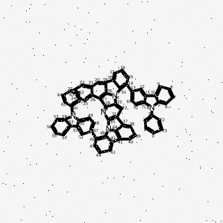 c1ccc(-n2c3ccccc3c3cc(-c4cccc5c6cc7ccccc7c7c8nc9c(cc8n(c45)c67)c4cccc5c6cccc(-c7ccc8c(c7)c7ccccc7n8-c7ccccc7)c6n9c45)ccc32)cc1